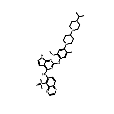 COc1cc(N2CCC(N3CCN(C(C)C)CC3)CC2)c(C)cc1Nc1nc(Nc2ccc3nccnc3c2P(C)(C)=O)c2cc[nH]c2n1